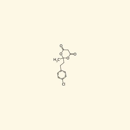 CC1(CCc2ccc(Cl)cc2)OC(=O)CC(=O)O1